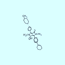 CN1C(=O)C2=C(c3ccc([C@H]4CC[C@H](C)CC4)cc3)N(C)C(O)C2=C1c1ccc(C2CCCCC2)cc1